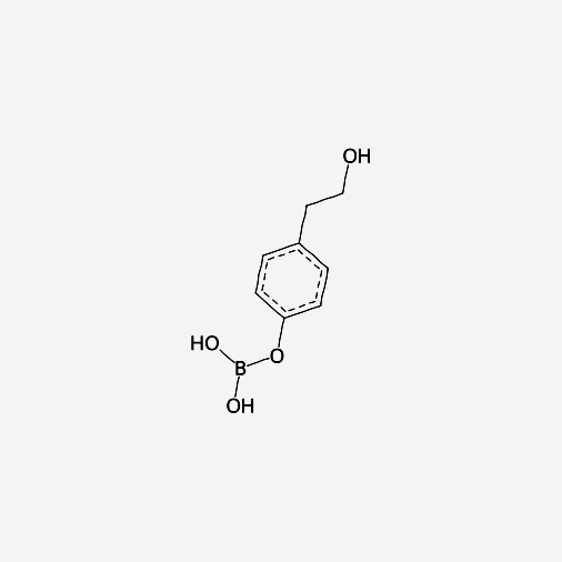 OCCc1ccc(OB(O)O)cc1